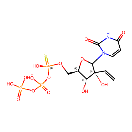 C=C[C@]1(O)C(n2ccc(=O)[nH]c2=O)O[C@H](CO[P@@](O)(=S)OP(=O)(O)OP(=O)(O)O)[C@H]1O